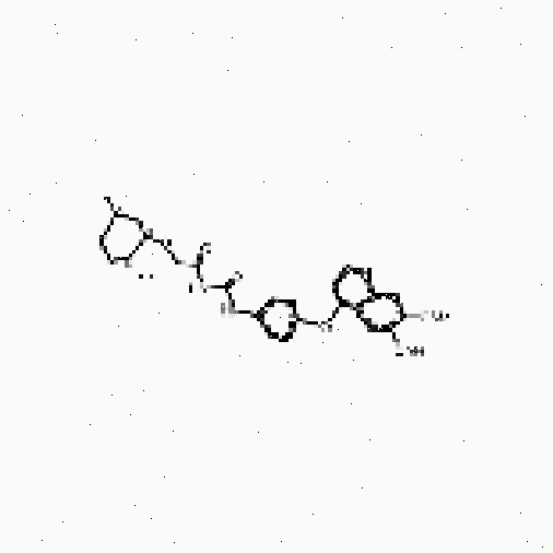 COc1cc2nccc(Oc3ccc(NC(=S)NC(=O)CO[C@@H]4C[C@H](C)CC[C@H]4C(C)C)cc3)c2cc1OC